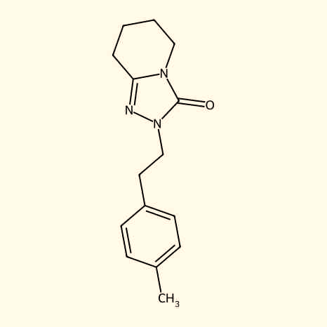 Cc1ccc(CCn2nc3n(c2=O)CCCC3)cc1